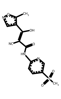 Cc1oncc1/C(O)=C(\C#N)C(=O)Nc1ccc(S(C)(=O)=O)cn1